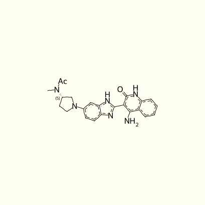 CC(=O)N(C)[C@H]1CCN(c2ccc3nc(-c4c(N)c5ccccc5[nH]c4=O)[nH]c3c2)C1